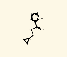 O=C(OCC1CC1)c1cccs1